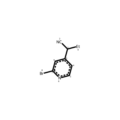 CCC(C#N)c1ccnc(Br)c1